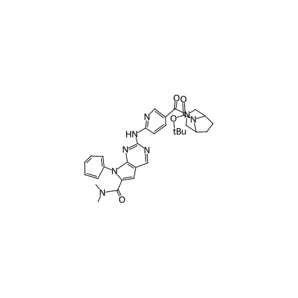 CN(C)C(=O)c1cc2cnc(Nc3ccc(C(=O)N4CC5CCC(C4)N5C(=O)OC(C)(C)C)cn3)nc2n1-c1ccccc1